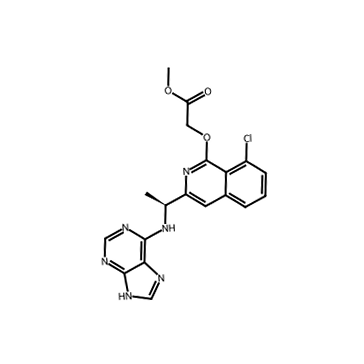 COC(=O)COc1nc([C@H](C)Nc2ncnc3[nH]cnc23)cc2cccc(Cl)c12